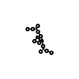 c1ccc(-c2ccc(N(c3ccccc3)c3ccc(-c4ccc5c(c4)C4(c6ccccc6-c6ccccc6-c6ccccc64)c4cc(-c6ccc(N(c7ccccc7)c7ccc(-c8ccccc8)cc7)cc6)ccc4-5)cc3)cc2)cc1